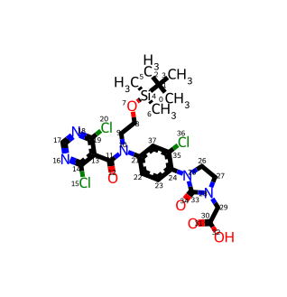 CC(C)(C)[Si](C)(C)OCCN(C(=O)c1c(Cl)ncnc1Cl)c1ccc(N2CCN(CC(=O)O)C2=O)c(Cl)c1